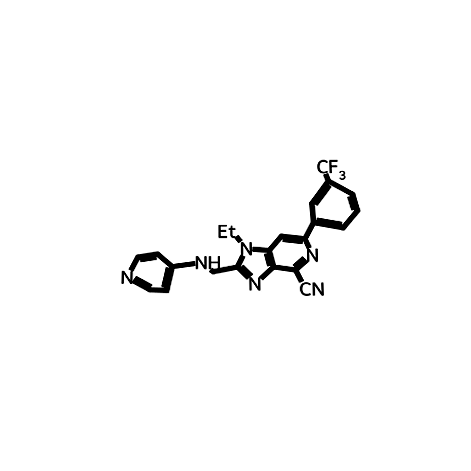 CCn1c(CNc2ccncc2)nc2c(C#N)nc(-c3cccc(C(F)(F)F)c3)cc21